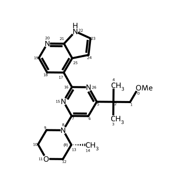 COCC(C)(C)c1cc(N2CCOC[C@H]2C)nc(-c2ccnc3[nH]ccc23)n1